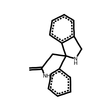 C=C(N)CC1(c2ccccc2)NCc2ccccc21